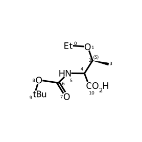 CCO[C@@H](C)C(NC(=O)OC(C)(C)C)C(=O)O